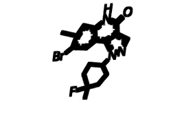 Cc1cc2[nH]c(=O)c3cnn(C4CCC(C)(F)CC4)c3c2cc1Br